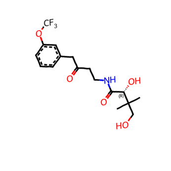 CC(C)(CO)[C@@H](O)C(=O)NCCC(=O)Cc1cccc(OC(F)(F)F)c1